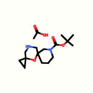 CC(=O)O.CC(C)(C)OC(=O)N1CCCC2(CNCC3(CC3)O2)C1